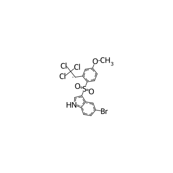 COc1ccc(S(=O)(=O)c2c[nH]c3ccc(Br)cc23)c([CH]C(Cl)(Cl)Cl)c1